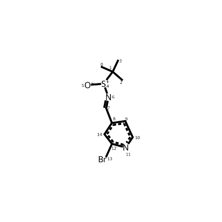 CC(C)(C)[S+]([O-])N=Cc1ccnc(Br)c1